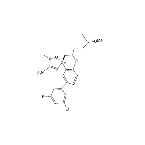 COC(C)CCC1C[C@]2(N=C(N)N(C)O2)c2cc(-c3cc(F)cc(Cl)c3)ccc2O1